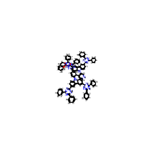 c1ccc(-c2nc(-c3ccccc3)nc(-c3ccc(-n4c5ccc(-c6nc(-c7ccccc7)nc(-c7ccccc7)n6)cc5c5cc(-c6nc(-c7ccccc7)nc(-c7ccccc7)n6)ccc54)c(-c4ccncc4-n4c5ccc(-c6nc(-c7ccccc7)nc(-c7ccccc7)n6)cc5c5cc(-c6nc(-c7ccccc7)nc(-c7ccccc7)n6)ccc54)c3)n2)cc1